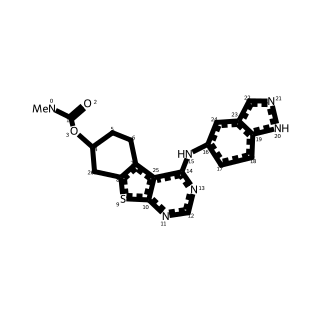 CNC(=O)OC1CCc2c(sc3ncnc(Nc4ccc5[nH]ncc5c4)c23)C1